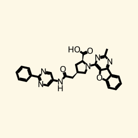 Cc1nc(N2C[C@@H](CC(=O)Nc3cnc(-c4ccccc4)nc3)C[C@H]2C(=O)O)c2oc3ccccc3c2n1